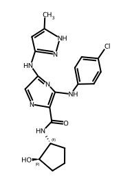 Cc1cc(Nc2cnc(C(=O)N[C@@H]3CCC[C@H]3O)c(Nc3ccc(Cl)cc3)n2)n[nH]1